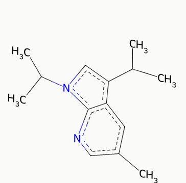 Cc1cnc2c(c1)c(C(C)C)cn2C(C)C